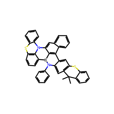 CC1(C)c2ccccc2Sc2cc3c(cc21)N(c1ccccc1)B1c2cccc4c2N(c2ccccc2S4)c2cc4ccccc4c-3c21